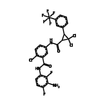 Nc1c(F)ccc(NC(=O)c2cc(NC(=O)C3C(c4cccc(S(F)(F)(F)(F)F)c4)C3(Cl)Cl)ccc2Cl)c1F